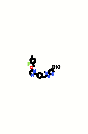 Cc1ccc(COc2ccnc(C3=CCC(Cc4nc5ncc(C=O)cc5n4C)CC3)n2)c(F)c1